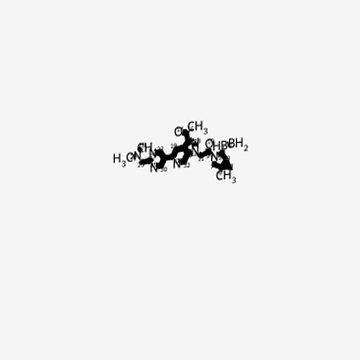 BBC1C2CC2(C)CN1C(=O)Cn1nc(C(C)=O)c2cc(-c3cnc(CN(C)C)nc3)ncc21